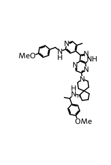 COc1ccc(CNc2cc(-c3n[nH]c4nc(N5CCC6(CCC[C@H]6NC(C)c6ccc(OC)cc6)CC5)cnc34)c(C)cn2)cc1